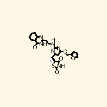 O=C1NC(=O)/C(=C\c2cc(OCc3ccco3)nc(NCCc3nc4ccccc4c(=O)[nH]3)n2)S1